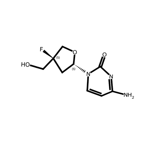 Nc1ccn([C@@H]2C[C@](F)(CO)CO2)c(=O)n1